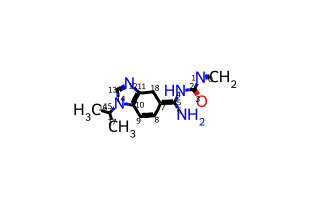 C=NC(=O)N/C(N)=C1/C=Cc2c(ncn2C(C)C)C1